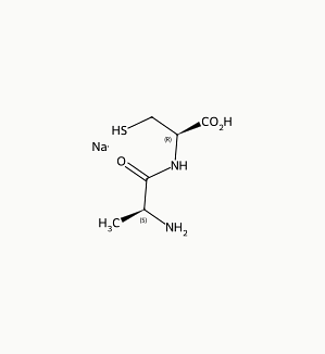 C[C@H](N)C(=O)N[C@@H](CS)C(=O)O.[Na]